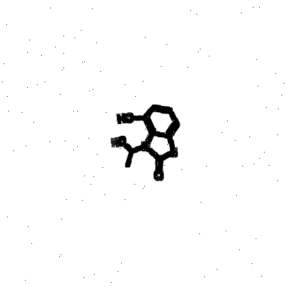 CC(O)n1c(=O)sc2cccc(O)c21